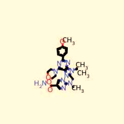 COc1ccc(-c2nc(N3CCOCC3)c3nc(CN(C)c4ncc(C(=O)ON)cn4)n(C(C)C)c3n2)cc1